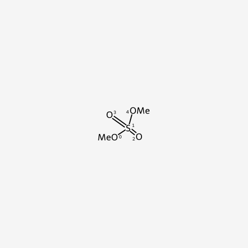 [13CH3]OS(=O)(=O)O[13CH3]